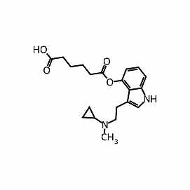 CN(CCc1c[nH]c2cccc(OC(=O)CCCCC(=O)O)c12)C1CC1